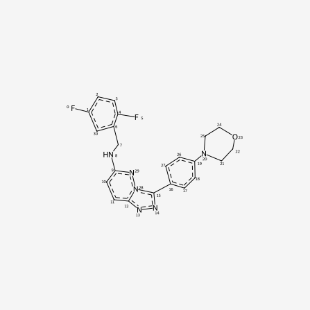 Fc1ccc(F)c(CNc2ccc3nnc(-c4ccc(N5CCOCC5)cc4)n3n2)c1